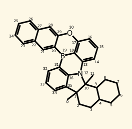 CC12CCC3CCCCC3C1(C)N1c3cccc4c3B(c3cc5ccccc5cc3O4)c3cccc2c31